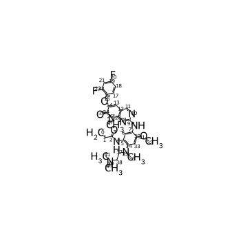 C=CC(=O)Nc1cc(Nc2ncc3cc(Oc4ccc(F)cc4F)c(=O)n(C)c3n2)c(OC)cc1N(C)CCN(C)C